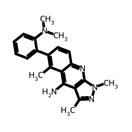 Cc1c(-c2ccccc2N(C)C)ccc2nc3c(c(C)nn3C)c(N)c12